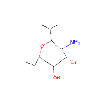 CCC1OC(C(C)C)C(N)C(O)C1O